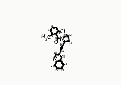 Cc1cccc(Cl)c1C(=O)n1nccc1C#Cc1cnc2ccccc2c1